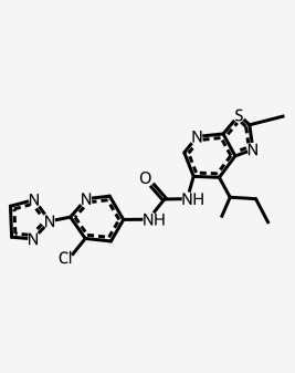 CCC(C)c1c(NC(=O)Nc2cnc(-n3nccn3)c(Cl)c2)cnc2sc(C)nc12